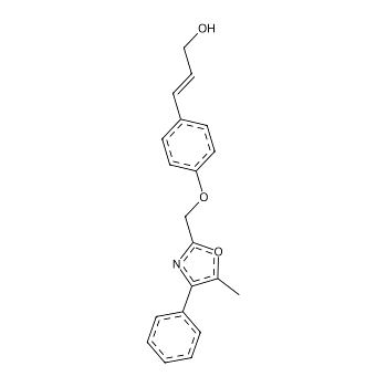 Cc1oc(COc2ccc(C=CCO)cc2)nc1-c1ccccc1